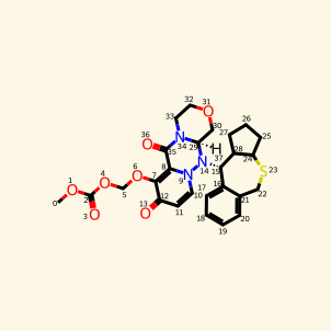 COC(=O)OCOc1c2n(ccc1=O)N([C@H]1c3ccccc3CSC3CCCC31)[C@@H]1COCCN1C2=O